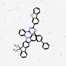 CC1(C)c2ccccc2-c2cc3c4ccccc4n(-c4ccccc4-c4nc(-c5ccc(-c6ccccc6)cc5)nc(-c5ccc6c(c5)oc5ccccc56)n4)c3cc21